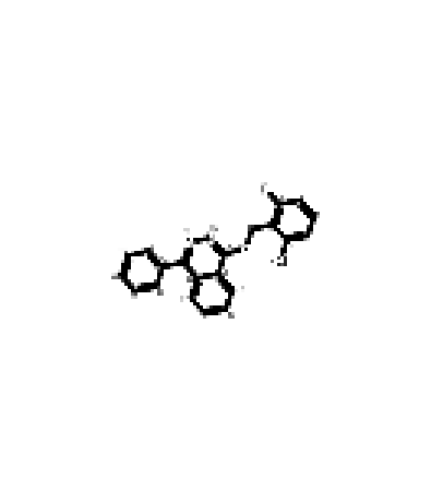 Fc1cccc(Cl)c1CSc1nnc(-c2ccccc2)c2ccccc12